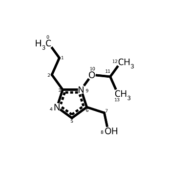 CCCc1ncc(CO)n1OC(C)C